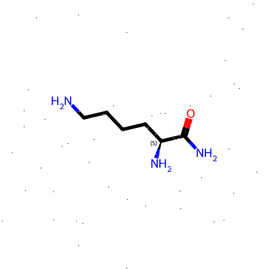 NCCCC[C@H](N)C(N)=O